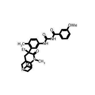 CCC1(c2cc(NC(=O)NC(=O)c3cccc(OC)c3)ccc2C)CC23CN4CC(C2)(C4C)C3N(C)C1=O